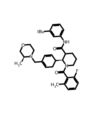 Cc1cccc(F)c1C(=O)N1CCCC(C(=O)Nc2cccc(C(C)(C)C)c2)[C@@H]1C1C=CC(CN2CCOC[C@@H]2C)=CC1